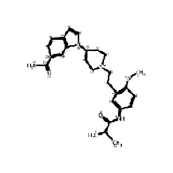 COc1ccc(NC(=O)C(C)C)cc1CCN1CCC(n2ccc3ccc(C(N)=O)cc32)CC1